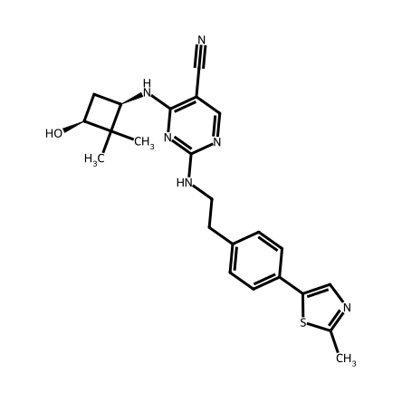 Cc1ncc(-c2ccc(CCNc3ncc(C#N)c(N[C@@H]4C[C@H](O)C4(C)C)n3)cc2)s1